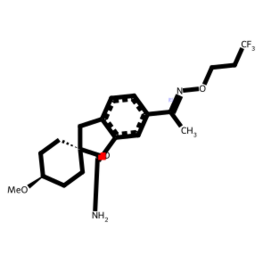 CO[C@H]1CC[C@]2(CC1)Cc1ccc(/C(C)=N/OCCC(F)(F)F)cc1C21COC(N)=N1